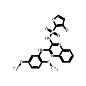 COc1ccc(OC)c(Nc2nc3ccccc3nc2NS(=O)(=O)c2sccc2Cl)c1